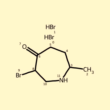 Br.Br.CC1CCC(=O)C(Br)CN1